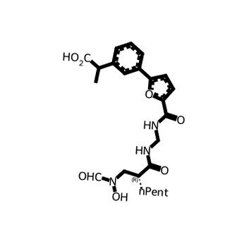 CCCCC[C@H](CN(O)C=O)C(=O)NCNC(=O)c1ccc(-c2cccc(C(C)C(=O)O)c2)o1